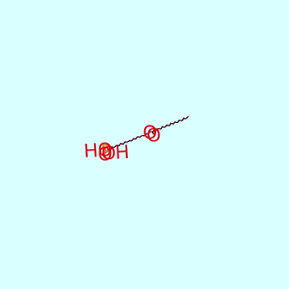 CCCCCCCCCCCCCCCCCC(=O)OCCCCCCCCCCCCCCCCCCCCP(=O)(O)O